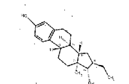 CC[C@@H]1C[C@H]2[C@@H]3CCc4cc(O)ccc4[C@H]3CC[C@]2(C)[C@H]1O